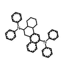 c1ccc(N(c2ccccc2)c2cc3c(c4ccccc24)CC(N(c2ccccc2)c2ccccc2)C2CCCCC32)cc1